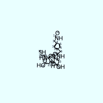 O=CNCc1ccc(CC(=O)N[C@@H](CC(=O)O)C(=O)N[C@@H](CC(=O)O)C(=O)NCCS)cc1